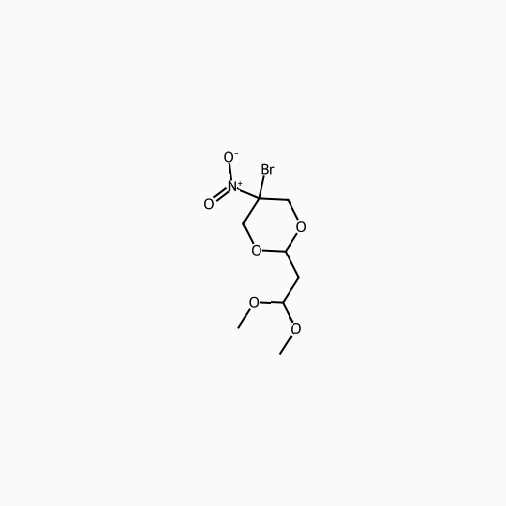 COC(CC1OCC(Br)([N+](=O)[O-])CO1)OC